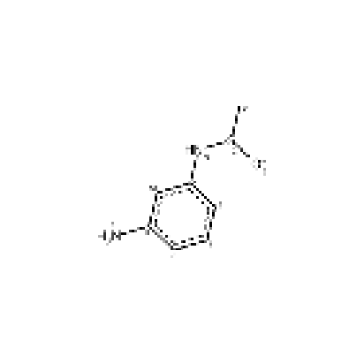 C[S+]([O-])Nc1cccc(N)c1